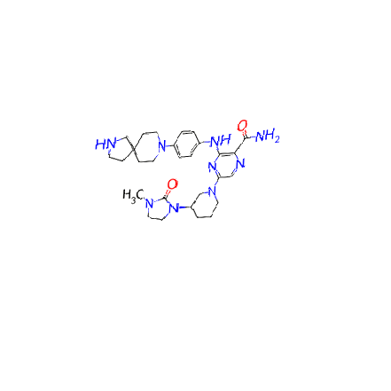 CN1CCN([C@@H]2CCCN(c3cnc(C(N)=O)c(Nc4ccc(N5CCC6(CCNC6)CC5)cc4)n3)C2)C1=O